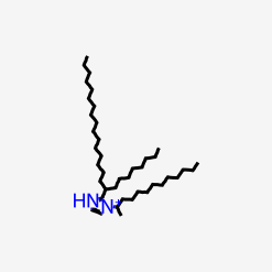 CCCCCCCCCCCCCCCCC(CCCCCCCC)c1[nH]cc[n+]1C(C)CCCCCCCCCCC